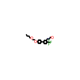 CCCCOCCOc1ccc(-c2ccc(C(F)(F)F)c(/C=C/C=O)c2)cc1